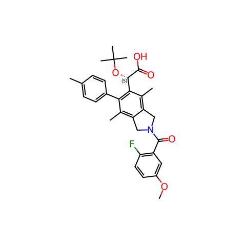 COc1ccc(F)c(C(=O)N2Cc3c(C)c(-c4ccc(C)cc4)c([C@H](OC(C)(C)C)C(=O)O)c(C)c3C2)c1